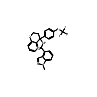 Cn1ncc2c(C(=O)NC3(c4ccc(OC(F)(F)F)cc4)CCOc4cccnc43)cccc21